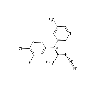 [N-]=[N+]=NC(C(=O)O)[C@H](c1cncc(C(F)(F)F)c1)c1ccc(Cl)c(F)c1